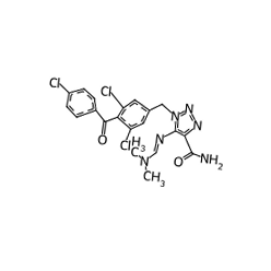 CN(C)C=Nc1c(C(N)=O)nnn1Cc1cc(Cl)c(C(=O)c2ccc(Cl)cc2)c(Cl)c1